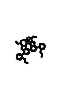 CCCc1ccccc1-c1cccc2c1C=C(C(C)CC)[CH]2[Zr]([CH]1C(C(C)CC)=Cc2c(-c3ccccc3CCC)cccc21)[SiH](C)C